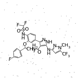 C[C@H](Oc1cc(-c2n[nH]c(Nc3cc(C(F)(F)F)n(C)n3)c2C(N)=O)ccc1NS(=O)(=O)C(F)F)c1ccc(F)cc1